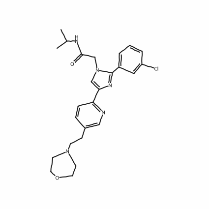 CC(C)NC(=O)Cn1cc(-c2ccc(CCN3CCOCC3)cn2)nc1-c1cccc(Cl)c1